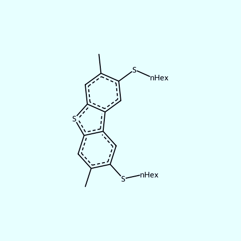 CCCCCCSc1cc2c(cc1C)sc1cc(C)c(SCCCCCC)cc12